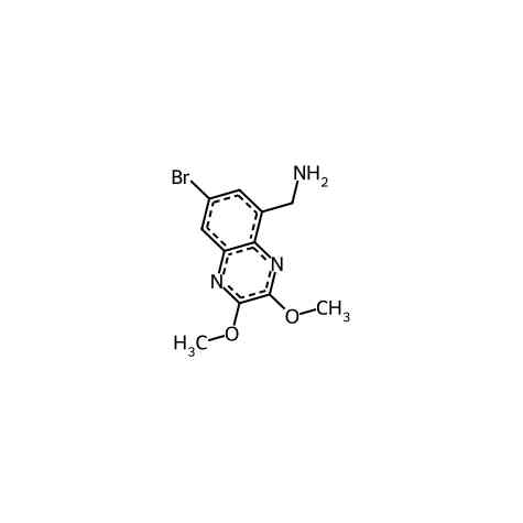 COc1nc2cc(Br)cc(CN)c2nc1OC